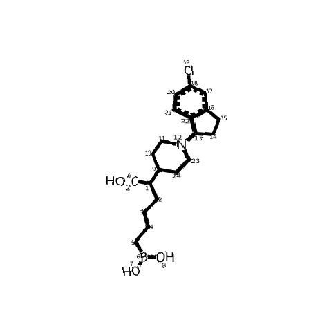 O=C(O)C(CCCCB(O)O)C1CCN(C2CCc3cc(Cl)ccc32)CC1